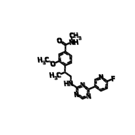 CNC(=O)c1ccc(C(C)CNc2ncnc(-c3ccc(F)nc3)n2)c(OC)c1